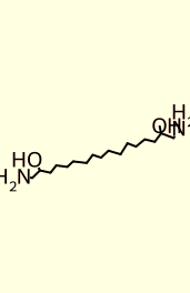 NCC(O)CCCCCCCCCCCCCC(O)CN